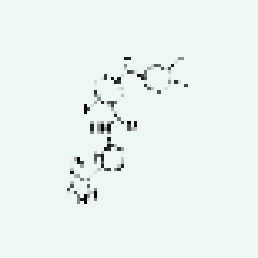 CC(C)n1cnnc1-c1cccc(NC(=O)c2cc(Nc3ccc(F)c(F)c3)ccc2F)n1